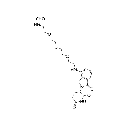 O=CNCCOCCOCCOCCNc1cccc2c1CN(C1CCC(=O)NC1=O)C2=O